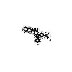 C[C@@H]1C[C@](c2ccc(C(F)(C(F)(F)F)C(F)(F)F)cc2)(S(=O)(=O)c2ccc(F)cc2)CCC1NC(=O)Cc1ccncc1